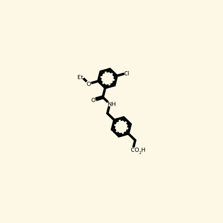 CCOc1ccc(Cl)cc1C(=O)NCc1ccc(CC(=O)O)cc1